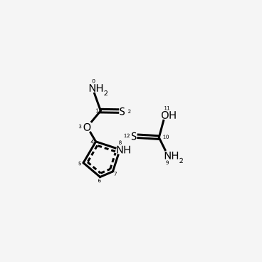 NC(=S)Oc1ccc[nH]1.NC(O)=S